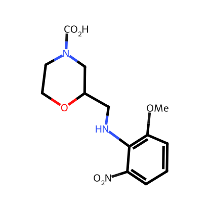 COc1cccc([N+](=O)[O-])c1NCC1CN(C(=O)O)CCO1